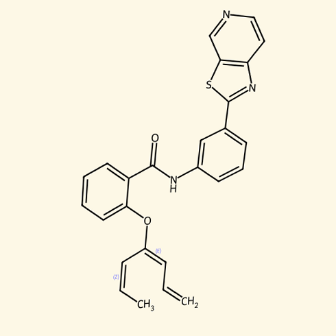 C=C/C=C(\C=C/C)Oc1ccccc1C(=O)Nc1cccc(-c2nc3ccncc3s2)c1